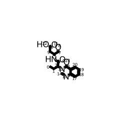 CCC(C(=O)NC(C=O)CC(=O)O)n1cnc2ccccc2c1=O